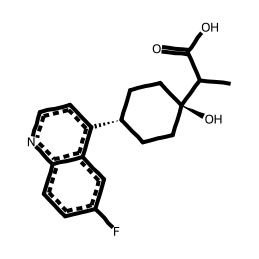 CC(C(=O)O)[C@]1(O)CC[C@H](c2ccnc3ccc(F)cc32)CC1